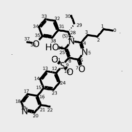 CCCCc1nc(=O)c(S(=O)(=O)c2ccc(-c3ccncc3C)cc2)c(O)n1[C@@H](CC)c1cccc(OC)c1